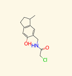 CC1CCc2cc(O)c(CNC(=O)CCl)cc21